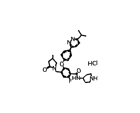 CC1CC(=O)N(Cc2cc(F)c(C(=O)NC3CCNCC3)cc2Oc2ccc(-c3ccc(C(C)C)nn3)cc2)C1.Cl